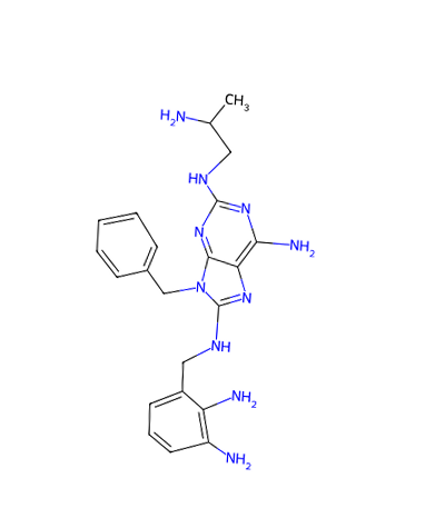 CC(N)CNc1nc(N)c2nc(NCc3cccc(N)c3N)n(Cc3ccccc3)c2n1